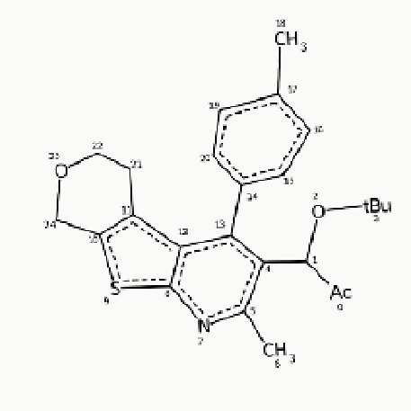 CC(=O)C(OC(C)(C)C)c1c(C)nc2sc3c(c2c1-c1ccc(C)cc1)CCOC3